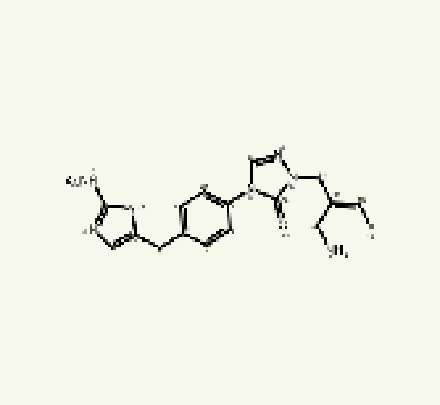 CC(=O)Nc1ncc(Cc2ccc(-n3cnn(C/C(=C/F)CN)c3=O)cc2)s1